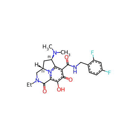 CCN1C[C@@H]2C[C@@H](N(C)C)c3c(C(=O)NCc4ccc(F)cc4F)c(=O)c(O)c(n32)C1=O